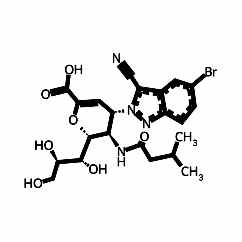 CC(C)CC(=O)N[C@H]1[C@H]([C@H](O)[C@H](O)CO)OC(C(=O)O)=C[C@@H]1n1nc2ccc(Br)cc2c1C#N